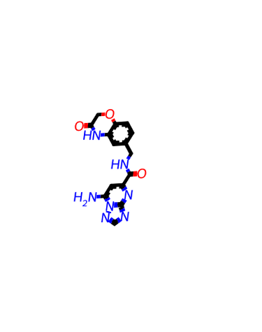 Nc1cc(C(=O)NCc2ccc3c(c2)NC(=O)CO3)nc2ncnn12